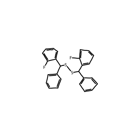 Fc1ccccc1C(SSC(c1ccccc1)c1ccccc1F)c1ccccc1